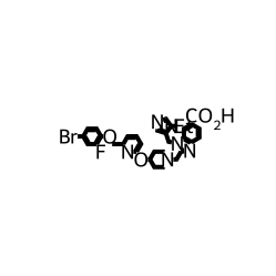 CCn1cncc1Cn1c(CN2CCC(Oc3cccc(COc4ccc(Br)cc4F)n3)CC2)nc2ccc(C(=O)O)cc21